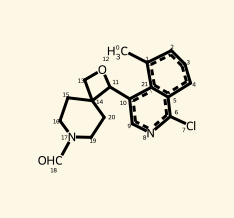 Cc1cccc2c(Cl)ncc(C3OCC34CCN(C=O)CC4)c12